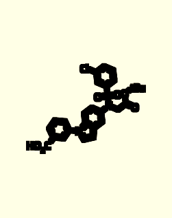 CC(C)(C)OC(=O)CN(c1ccc2c(ccn2-c2cccc(C(=O)O)c2)c1)S(=O)(=O)c1cccc(Cl)c1